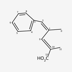 CC(=Cc1ccccc1)C=C(C)C(=O)O